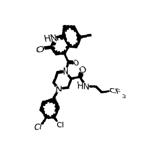 Cc1ccc2[nH]c(=O)cc(C(=O)N3CCN(c4ccc(Cl)c(Cl)c4)CC3C(=O)NCCC(F)(F)F)c2c1